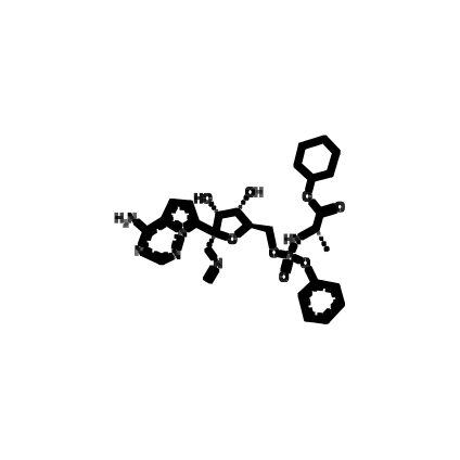 C=NC[C@@]1(c2ccc3c(N)ncnn23)O[C@H](COP(=O)(N[C@@H](C)C(=O)OC2CCCCC2)Oc2ccccc2)[C@@H](O)[C@H]1O